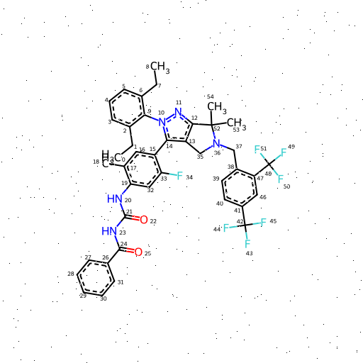 CCc1cccc(CC)c1-n1nc2c(c1-c1cc(C)c(NC(=O)NC(=O)c3ccccc3)cc1F)CN(Cc1ccc(C(F)(F)F)cc1C(F)(F)F)C2(C)C